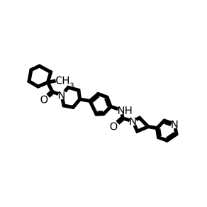 CC1(C(=O)N2CCC(c3ccc(NC(=O)N4CC(c5cccnc5)C4)cc3)CC2)CCCCC1